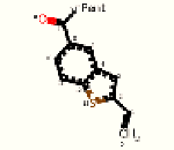 C=Cc1cc2cc(C(=O)CCCCC)ccc2s1